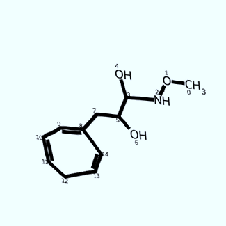 CONC(O)C(O)CC1=CC=CCC=C1